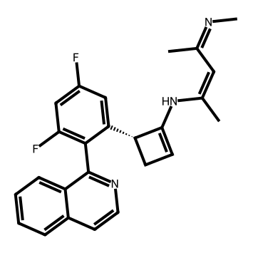 C/N=C(C)\C=C(\C)NC1=CC[C@@H]1c1cc(F)cc(F)c1-c1nccc2ccccc12